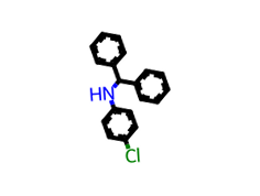 Clc1ccc(NC(c2ccccc2)c2ccccc2)cc1